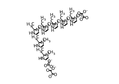 CCc1[nH]cc[n+]1C.CCc1[nH]cc[n+]1C.CCc1[nH]cc[n+]1C.CCc1[nH]cc[n+]1C.CCc1[nH]cc[n+]1C.CCc1[nH]cc[n+]1C.CCc1[nH]cc[n+]1C.O=C([O-])C(=O)[O-].O=C([O-])C(=O)[O-].[O-]B([O-])[O-]